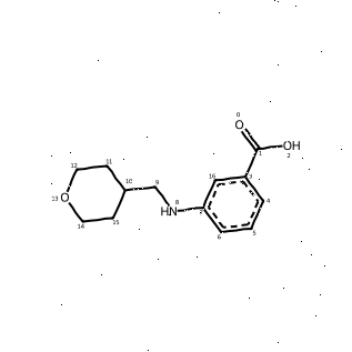 O=C(O)c1cccc(NCC2CCOCC2)c1